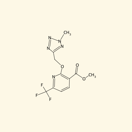 COC(=O)c1ccc(C(F)(F)F)nc1OCc1nnn(C)n1